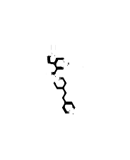 Cn1cc(C(=O)N2CCC(CCc3ccncc3)CC2)c2cc[nH]c2c1=O